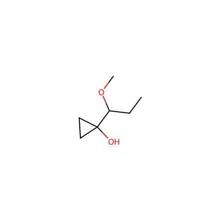 CCC(OC)C1(O)CC1